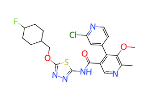 COc1c(C)ncc(C(=O)Nc2nnc(OCC3CCC(F)CC3)s2)c1-c1ccnc(Cl)c1